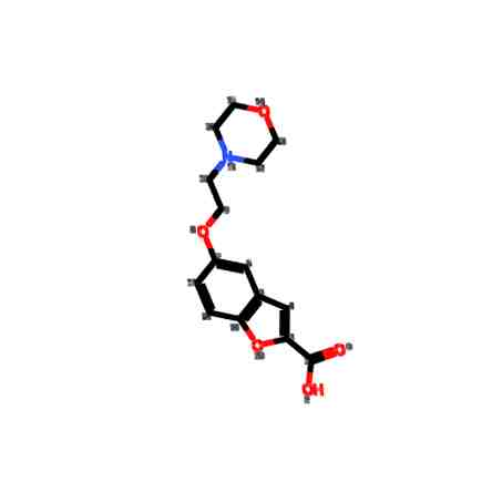 O=C(O)c1cc2cc(OCCN3CCOCC3)ccc2o1